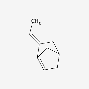 CC=C1CC2CC=C1C2